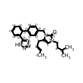 C/C=C/Cc1cn(CCC(C)C)c(=O)n1Cc1ccc(-c2ccccc2-c2nnn[nH]2)cc1